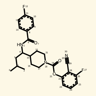 CC(C)CC(NC(=O)c1ccc(F)cc1)C1CCN(C(=O)Oc2cccc(F)c2C#N)CC1